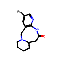 CC(C)c1cnc2c(c1)CN1CCCCC1CC(=O)N2